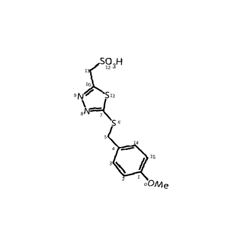 COc1ccc(CSc2nnc(CS(=O)(=O)O)s2)cc1